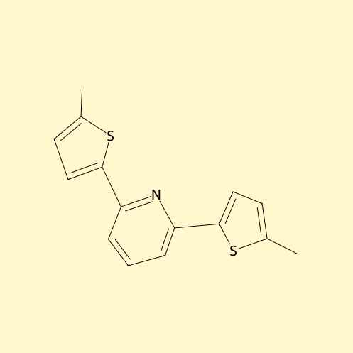 Cc1ccc(-c2cccc(-c3ccc(C)s3)n2)s1